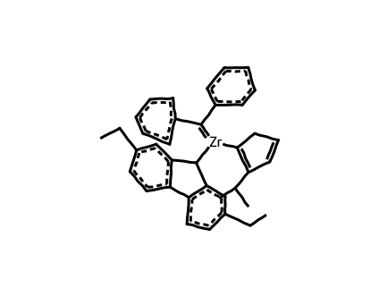 CCc1ccc2c(c1)[CH]([Zr]([C]1=C(C(C)C)C=CC1)=[C](c1ccccc1)c1ccccc1)c1cc(CC)ccc1-2